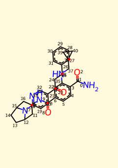 NC(=O)c1ccc(C(=O)NC2CC3CCC(C2)N3c2ccc(C(=O)CCc3ccccc3)cn2)cc1NCC1CC1